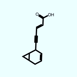 O=C(O)C=CC#CC1C=CCC2CC12